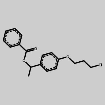 CC(OC(=O)c1ccccc1)c1ccc(OCCCCl)cc1